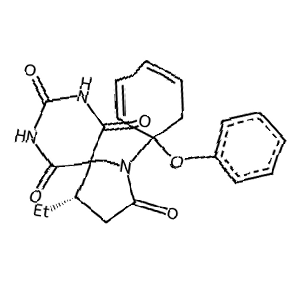 CC[C@H]1CC(=O)N(C2(Oc3ccccc3)C=CC=CC2)C12C(=O)NC(=O)NC2=O